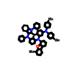 CC(C)(C)c1ccc(N(c2ccc(C(C)(C)C)cc2)c2ccc3c(c2)N(c2cccc4c2oc2c(C(C)(C)C)cccc24)c2cccc4c2B3c2c(c3c(n2-c2ccccc2)CCCC3)N4c2ccccc2)cc1